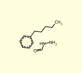 CCCCCc1ccccc1.NNC=O